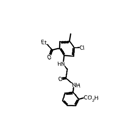 CCC(=O)c1cc(C)c(Cl)cc1NCC(=O)Nc1ccccc1C(=O)O